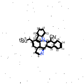 CC(C)(C)Cc1cc2ccnc3c4cc5ccccc5c(C#N)c4n4c5ccccc5c1c4c23